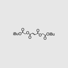 CC(C)COC(=O)COC(=O)/C=C/C(=O)OCC(=O)OCC(C)C